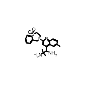 Cc1ccc2nc(N3CCS(=O)(=O)c4ccccc4C3)cc(C(N)C(C)(C)N)c2c1